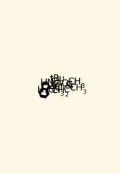 [CH2]=[Zr]([CH3])([Cl])([Cl])([NH]C(C)(C)C)([O]CO[Si](C)(C)C)[CH]1C=Cc2ccccc21